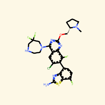 CN1CCC[C@H]1COc1nc(N2CCNCC(F)(F)C2)c2cc(Cl)c(-c3ccc(F)c4sc(N)nc34)c(F)c2n1